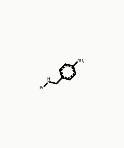 CC(C)NCc1ccc(N)cc1